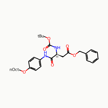 CCCCCCCCOc1ccc(NC(=O)[C@H](CC(=O)OCc2ccccc2)NC(=O)OC(C)(C)C)cc1